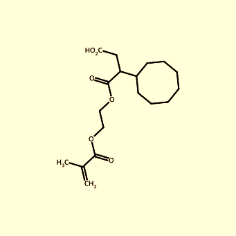 C=C(C)C(=O)OCCOC(=O)C(CC(=O)O)C1CCCCCCC1